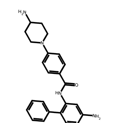 Nc1ccc(-c2ccccc2)c(NC(=O)c2ccc(N3CCC(N)CC3)cc2)c1